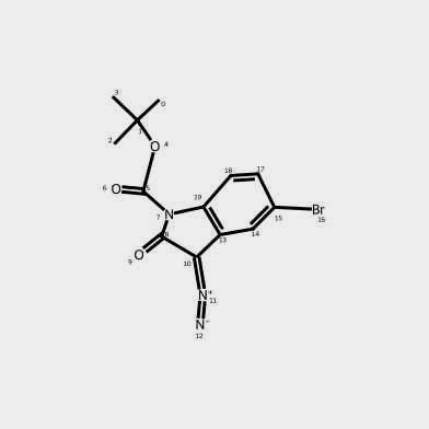 CC(C)(C)OC(=O)N1C(=O)C(=[N+]=[N-])c2cc(Br)ccc21